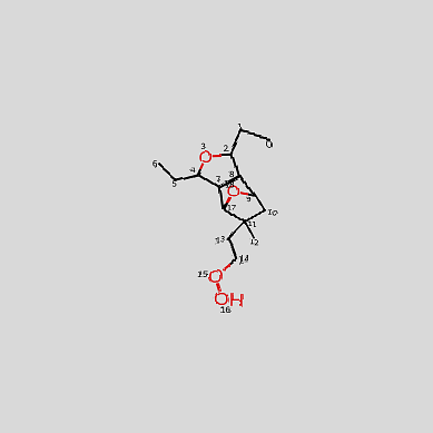 CCC1OC(CC)C2C1C1CC(C)(CCOO)C2O1